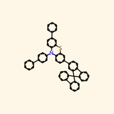 c1ccc(-c2ccc(N3c4ccc(-c5ccccc5)cc4Sc4cc(-c5ccc6c(c5)C5(c7ccccc7-c7ccccc75)c5ccccc5-6)ccc43)cc2)cc1